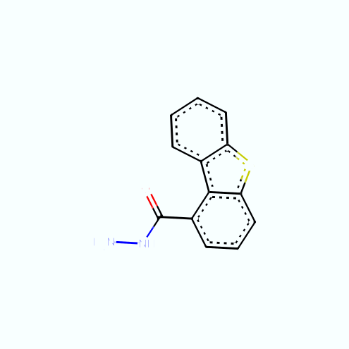 NNC(=O)c1cccc2sc3ccccc3c12